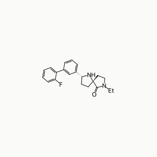 CCN1CC[C@]2(CC[C@H](c3cccc(-c4ccccc4F)c3)N2)C1=O